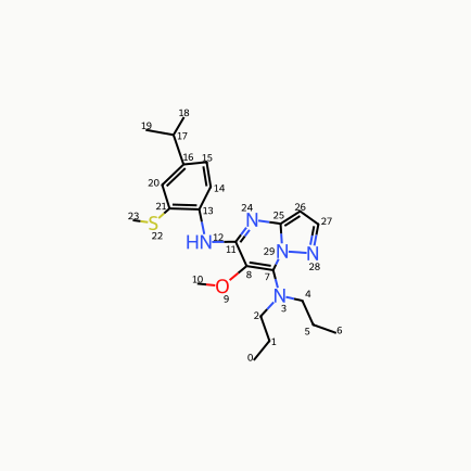 CCCN(CCC)c1c(OC)c(Nc2ccc(C(C)C)cc2SC)nc2ccnn12